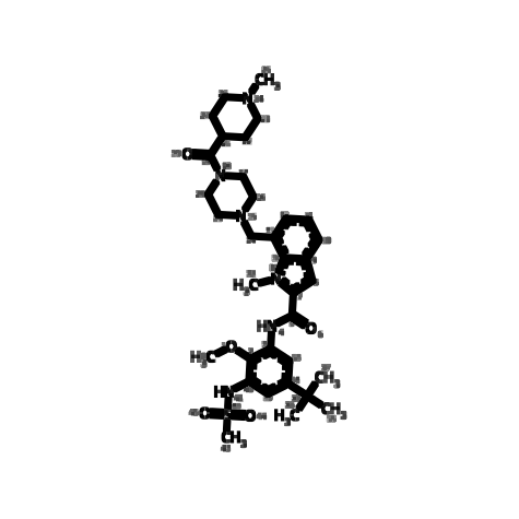 COc1c(NC(=O)c2cc3cccc(CN4CCN(C(=O)C5CCN(C)CC5)CC4)c3n2C)cc(C(C)(C)C)cc1NS(C)(=O)=O